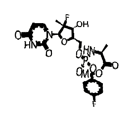 COC(=O)[C@H](C)NP(=O)(OC[C@H]1O[C@@H](n2ccc(=O)[nH]c2=O)[C@](C)(F)[C@@H]1O)Oc1ccc(F)cc1